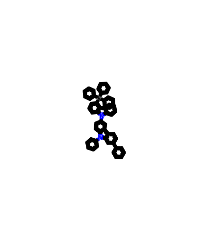 c1ccc(-c2ccc3c4cc(-n5c6ccccc6c6c([Si](c7ccccc7)(c7ccccc7)c7ccccc7)cccc65)ccc4n(-c4ccccc4)c3c2)cc1